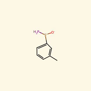 Cc1cccc([S+]([O-])P)c1